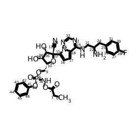 CCC(=O)ONP(=O)(OC[C@H]1O[C@@](C#N)(c2ccc3c(NCC(N)Cc4ccc(F)cc4)ncnn23)[C@H](O)[C@@H]1O)Oc1ccccc1